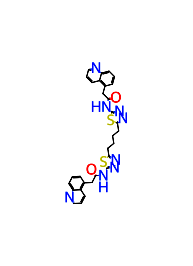 O=C(Cc1cccc2ncccc12)Nc1nnc(CCCCc2nnc(NC(=O)Cc3cccc4ncccc34)s2)s1